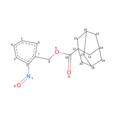 O=Nc1ccccc1COC(=O)C12CC3CC(CC(C3)C1)C2